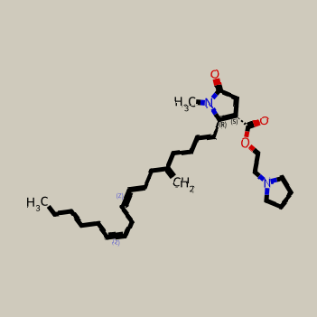 C=C(CC/C=C\C/C=C\CCCCC)CCCC[C@@H]1[C@@H](C(=O)OCCN2CCCC2)CC(=O)N1C